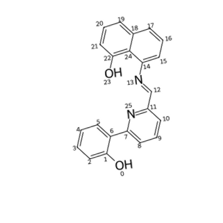 Oc1ccccc1-c1cccc(/C=N/c2cccc3cccc(O)c23)n1